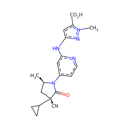 C[C@@H]1C[C@@](C#N)(C2CC2)C(=O)N1c1ccnc(Nc2cc(C(=O)O)n(C)n2)c1